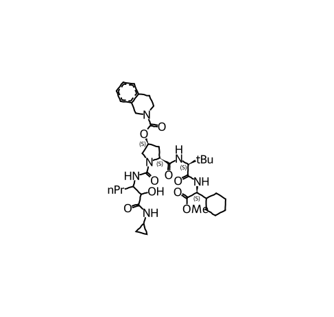 CCCC(NC(=O)N1C[C@@H](OC(=O)N2CCc3ccccc3C2)C[C@H]1C(=O)N[C@H](C(=O)N[C@H](C(=O)OC)C1CCCCC1)C(C)(C)C)C(O)C(=O)NC1CC1